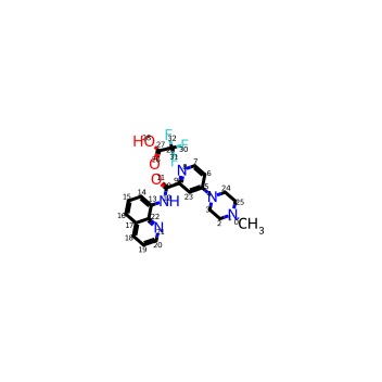 CN1CCN(c2ccnc(C(=O)Nc3cccc4cccnc34)c2)CC1.O=C(O)C(F)(F)F